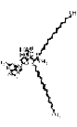 CCCCCCCCCCCCCCCCSC(C)C(SCCCCCCCCCCCCCCCC)C(OP(=O)(O)O)[C@@H]1CC[C@H](n2cnc3c(N)nc(N)nc32)O1